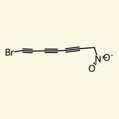 O=[N+]([O-])CC#CC#CC#CBr